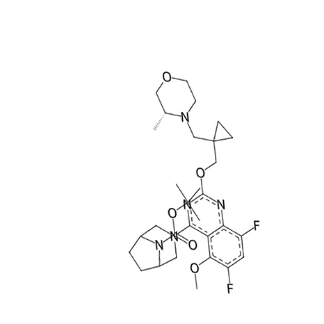 COc1c(F)cc(F)c2nc(OCC3(CN4CCOC[C@H]4C)CC3)nc(N3CC4CCC(C3)N4C(=O)OC(C)(C)C)c12